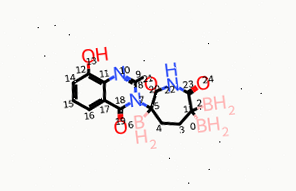 BC1(B)CCC(B)(n2c(C)nc3c(O)cccc3c2=O)C(=O)NC1=O